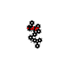 C1=C=CC2=C(C=1)c1cc3c(cc1C2c1ccccc1)sc1cccc(-c2ccc(-c4cccc5sc6cc7c(cc6c45)-c4ccccc4C7c4ccccc4)c(-c4nc(C5=CC=CCC5)nc(-c5ccccc5)n4)c2)c13